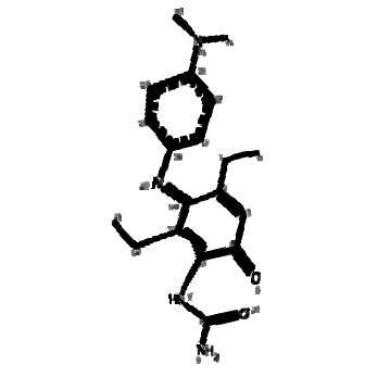 CCC1=CC(=O)C(NC(N)=O)=C(CC)C1=Nc1ccc(N(C)C)cc1